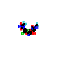 O=C(NCC(F)F)C1(NS(=O)(=O)c2cc(Oc3c(Cl)cc(-n4nc(C(F)F)c(=O)[nH]c4=O)cc3Cl)ncc2O)CC1